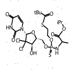 CC(C)OC(=O)C(C)NP(=S)(OCCSC(=O)C(C)(C)C)OC[C@H]1O[C@@H](n2ccc(=O)[nH]c2=O)C(Cl)(Cl)[C@@H]1O